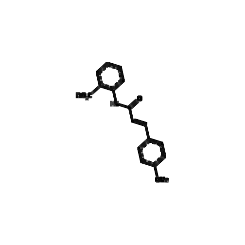 CCOC(=O)c1ccccc1NC(=O)C=Cc1ccc(OC)cc1